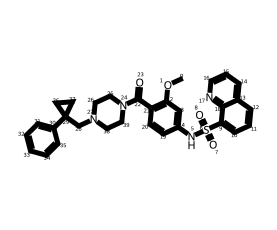 COc1cc(NS(=O)(=O)c2cccc3cccnc23)ccc1C(=O)N1CCN(CC2(c3ccccc3)CC2)CC1